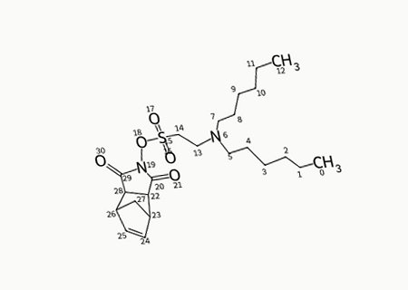 CCCCCCN(CCCCCC)CCS(=O)(=O)ON1C(=O)C2C3C=CC(C3)C2C1=O